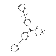 CC1(C)COP(N(c2ccc(C(C)(C)c3ccccc3)cc2)c2ccc(C(C)(C)c3ccccc3)cc2)OC1